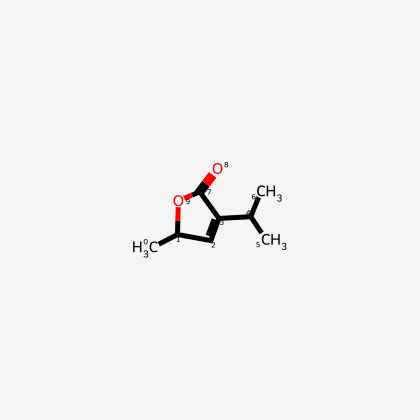 CC1C=C(C(C)C)C(=O)O1